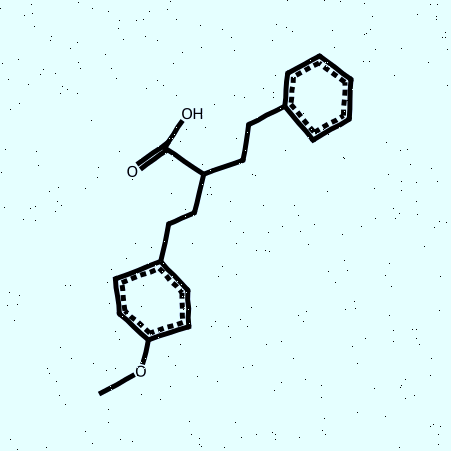 COc1ccc(CCC(CCc2ccccc2)C(=O)O)cc1